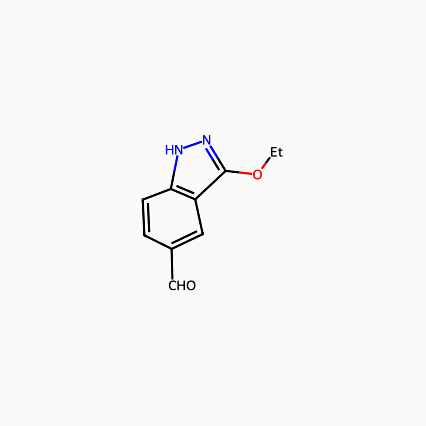 CCOc1n[nH]c2ccc(C=O)cc12